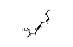 CC/C=C\CC#CCC(C)N